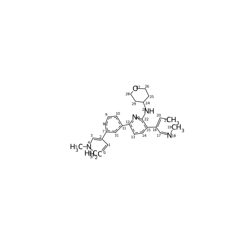 C=C/C(=C\N(C)C)c1cccc(-c2ccc(C(/C=N\C)=C/C)c(NC3CCOCC3)n2)c1